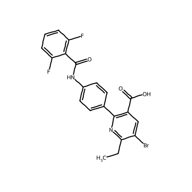 CCc1nc(-c2ccc(NC(=O)c3c(F)cccc3F)cc2)c(C(=O)O)cc1Br